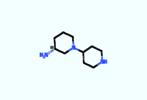 N[C@@H]1CCCN(C2CCNCC2)C1